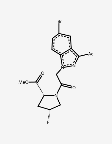 COC(=O)[C@H]1C[C@@H](F)CN1C(=O)Cn1nc(C(C)=O)c2cc(Br)ccc21